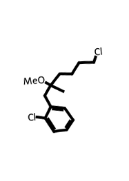 COC(C)(CCCCCl)Cc1ccccc1Cl